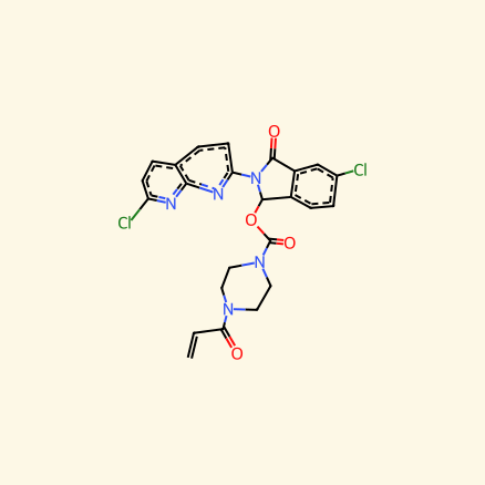 C=CC(=O)N1CCN(C(=O)OC2c3ccc(Cl)cc3C(=O)N2c2ccc3ccc(Cl)nc3n2)CC1